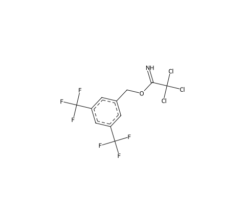 N=C(OCc1cc(C(F)(F)F)cc(C(F)(F)F)c1)C(Cl)(Cl)Cl